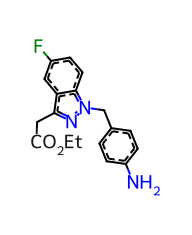 CCOC(=O)Cc1nn(Cc2ccc(N)cc2)c2ccc(F)cc12